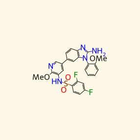 COc1ccccc1-n1c(N)nc2ccc(-c3cnc(OC)c(NS(=O)(=O)c4ccc(F)cc4F)c3)cc21